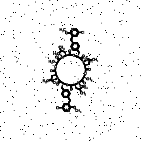 COc1ncc(Cl)cc1Cc1ccc(C[C@H]2OC(=O)[C@H](CC(C)C)N(C)C(=O)[C@@H](C)OC(=O)[C@H](CC(C)C)N(C)C(=O)[C@@H](Cc3ccc(Cc4cc(Cl)cnc4OC)cc3)OC(=O)[C@H](CC(C)C)N(C)C(=O)[C@@H](C)OC(=O)[C@H](CC(C)C)N(C)C2=O)cc1